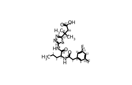 CCCC(NC(=O)Cc1cc(F)cc(F)c1)C(=O)Nc1nnc(C(C)(C)CC(=O)O)s1